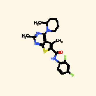 Cc1nc(N2CCCCC2C)c2c(C)c(C(=O)Nc3ccc(F)cc3F)sc2n1